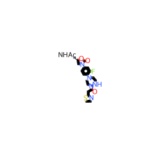 CC(=O)NC[C@H]1CN(c2ccc(N3CCNN(C(=O)CC4=NCCS4)CC3)c(F)c2)C(=O)O1